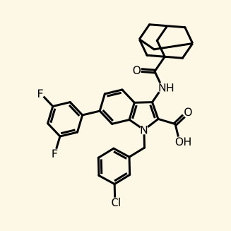 O=C(O)c1c(NC(=O)C23CC4CC(CC(C4)C2)C3)c2ccc(-c3cc(F)cc(F)c3)cc2n1Cc1cccc(Cl)c1